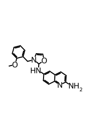 COc1ccccc1CN1C=COC1Nc1ccc2nc(N)ccc2c1